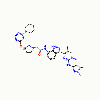 C=N/C(=N\C(=C(C)C)c1c[nH]c2c(NC(=O)CN3CC[C@H](Oc4cc(N5CCCCC5)ncn4)C3)cccc12)Nc1cc(C)n(C)n1